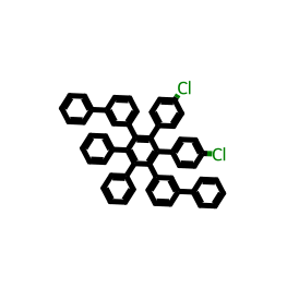 Clc1ccc(-c2c(-c3ccc(Cl)cc3)c(-c3cccc(-c4ccccc4)c3)c(-c3ccccc3)c(-c3ccccc3)c2-c2cccc(-c3ccccc3)c2)cc1